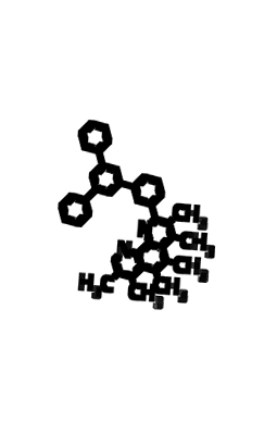 Cc1cnc2c(c1C)c(C)c(C)c1c(C)c(C)c(-c3cccc(-c4cc(-c5ccccc5)cc(-c5ccccc5)c4)c3)nc12